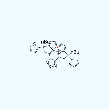 CCCCC(Cc1ccc(CC(CCCC)(c2cccs2)c2cccs2)c2nsnc12)(c1cccs1)c1cccs1